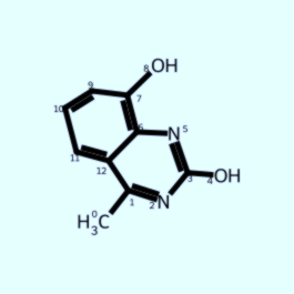 Cc1nc(O)nc2c(O)cccc12